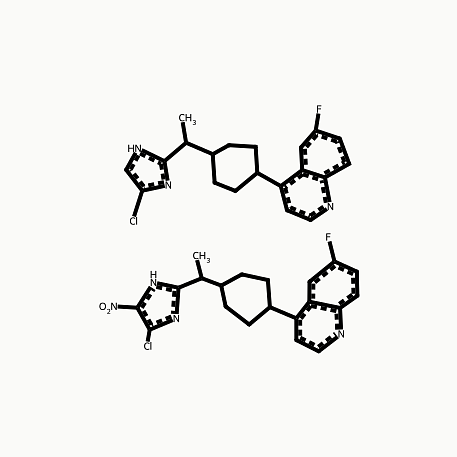 CC(c1nc(Cl)c([N+](=O)[O-])[nH]1)C1CCC(c2ccnc3ccc(F)cc23)CC1.CC(c1nc(Cl)c[nH]1)C1CCC(c2ccnc3ccc(F)cc23)CC1